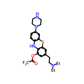 CCN(CC)CCc1cc(OC(=O)C(F)(F)F)c2c(c1)Sc1cc(N3CCNCC3)ccc1N2